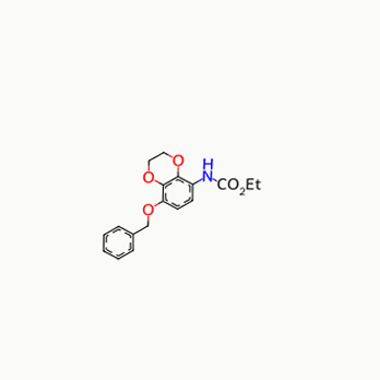 CCOC(=O)Nc1ccc(OCc2ccccc2)c2c1OCCO2